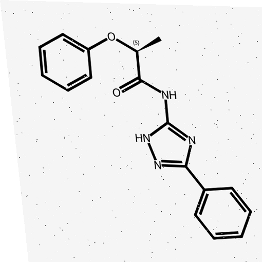 C[C@H](Oc1ccccc1)C(=O)Nc1nc(-c2ccccc2)n[nH]1